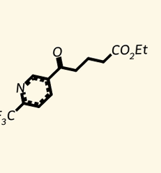 CCOC(=O)CCCC(=O)c1ccc(C(F)(F)F)nc1